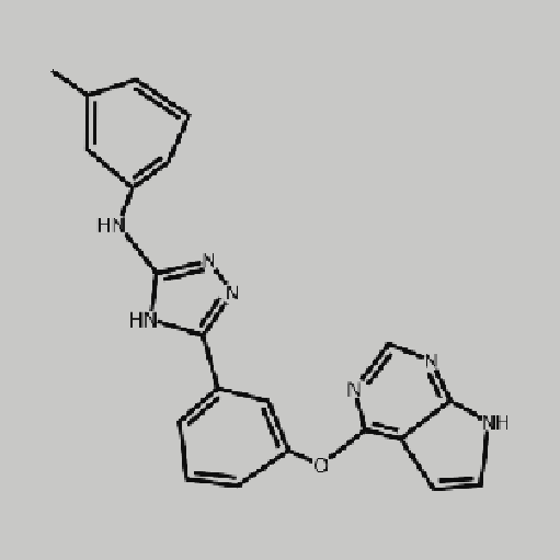 Cc1cccc(Nc2nnc(-c3cccc(Oc4ncnc5[nH]ccc45)c3)[nH]2)c1